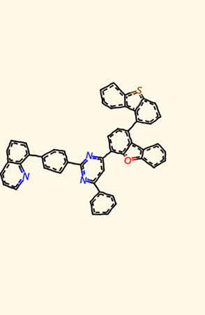 c1ccc(-c2cc(-c3ccc(-c4cccc5sc6ccccc6c45)c4c3oc3ccccc34)nc(-c3ccc(-c4cccc5cccnc45)cc3)n2)cc1